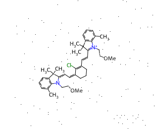 COCCN1C(=CC=C2CCCC(C=CC3=[N+](CCOC)c4c(C)cccc4C3(C)C)=C2Cl)C(C)(C)c2cccc(C)c21